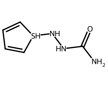 NC(=O)NN[SH]1C=CC=C1